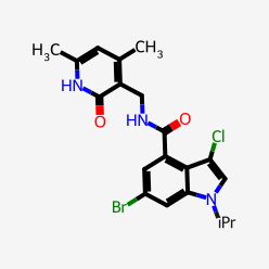 Cc1cc(C)c(CNC(=O)c2cc(Br)cc3c2c(Cl)cn3C(C)C)c(=O)[nH]1